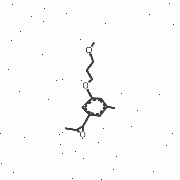 COCCCOc1cc(C)cc(C2OC2C)c1